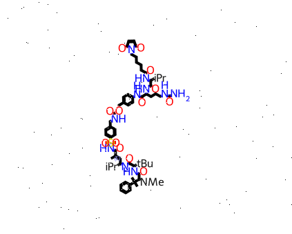 CNC(C(=O)NC(C(=O)N(C)C(/C=C(\C)C(=O)NS(=O)(=O)c1ccc(CNC(=O)OCc2ccc(NC(=O)C(CCCNC(N)=O)NC(=O)C(NC(=O)CCCCCN3C(=O)C=CC3=O)C(C)C)cc2)cc1)C(C)C)C(C)(C)C)C(C)(C)c1ccccc1